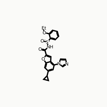 CCOc1ccccc1[S+]([O-])NC(=O)c1cc2c(-n3ccnc3)cc(C3CC3)cc2o1